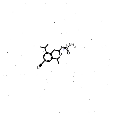 CC(C)c1cc(C#N)cc(C(C)C)c1CC(=O)/N=[SH](/N)=O